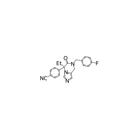 CCC1(c2ccc(C#N)cc2)C(=O)N(Cc2ccc(F)cc2)Cc2cncn21